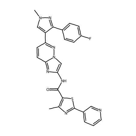 Cc1nc(-c2cccnc2)sc1C(=O)Nc1cn2nc(-c3cn(C)nc3-c3ccc(F)cc3)ccc2n1